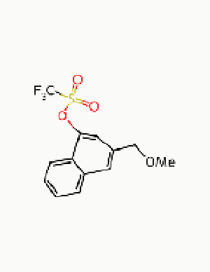 COCc1cc(OS(=O)(=O)C(F)(F)F)c2ccccc2c1